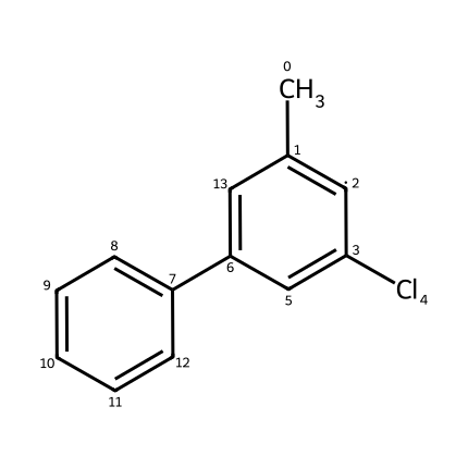 Cc1[c]c(Cl)cc(-c2ccccc2)c1